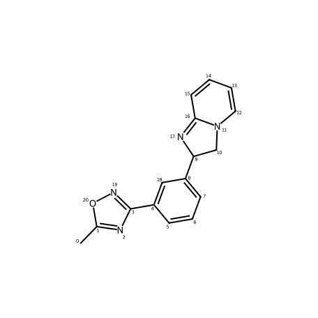 Cc1nc(-c2cccc(C3CN4C=CC=CC4=N3)c2)no1